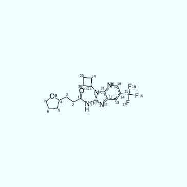 O=C(CCC1CCCO1)Nc1nc2cc(C(F)(F)F)cnc2n1C1CCC1